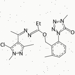 CC/C(=N\N=C(C)c1c(C)nn(C)c1Cl)OCc1c(C)cccc1-n1nnn(C)c1=O